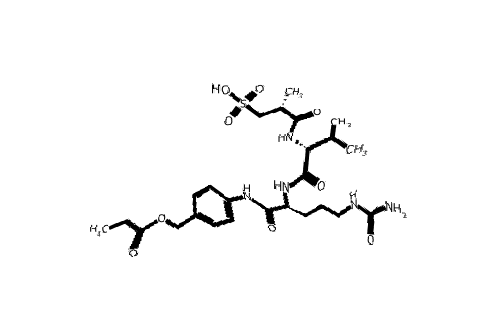 CCC(=O)OCc1ccc(NC(=O)[C@H](CCCNC(N)=O)NC(=O)[C@H](NC(=O)[C@@H](C)CS(=O)(=O)O)C(C)C)cc1